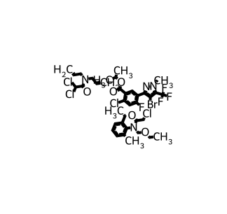 C=CCN(CC=C)C(=O)C(Cl)Cl.CC(C)OC(=O)c1cc(-c2nn(C)c(C(F)(F)F)c2Br)c(F)cc1Cl.CCOCN(C(=O)CCl)c1c(C)cccc1CC